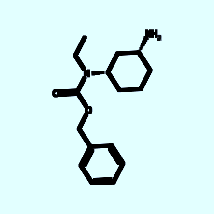 CCN(C(=O)OCc1ccccc1)[C@H]1CCC[C@@H](N)C1